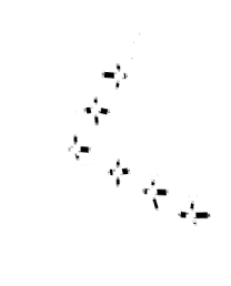 O=S(=O)(O)O.O=S(=O)([O-])[O-].O=S(=O)([O-])[O-].O=S(=O)([O-])[O-].O=S(=O)([O-])[O-].O=S(=O)([O-])[O-].[V+5].[V+5]